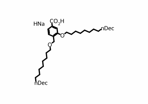 CCCCCCCCCCCCCCCCCCOCc1ccc(C(=O)O)cc1OCCCCCCCCCCCCCCCCCC.[NaH]